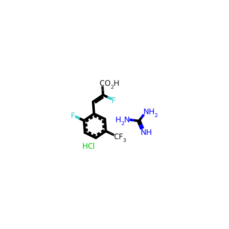 Cl.N=C(N)N.O=C(O)C(F)=Cc1cc(C(F)(F)F)ccc1F